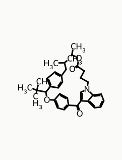 CCOC(=O)CCCn1cc(C(=O)c2ccc(OC(c3ccc(CC(C)C)cc3)C(C)(C)C)cc2)c2ccccc21